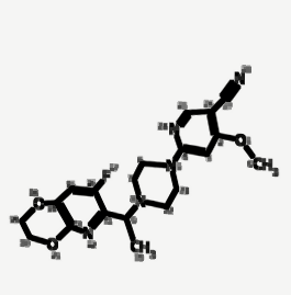 COc1cc(N2CCN(C(C)c3nc4c(cc3F)OCCO4)CC2)ncc1C#N